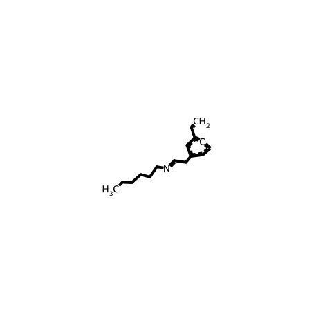 C=Cc1cccc(CC=NCCCCCC)c1